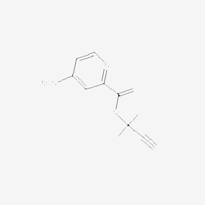 C#CC(C)(C)NC(=O)c1cc(NC)ccn1